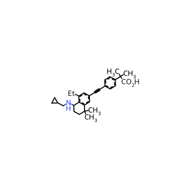 CCc1cc(C#Cc2ccc(C(C)(C)C(=O)O)cc2)cc2c1C(NCC1CC1)CCC2(C)C